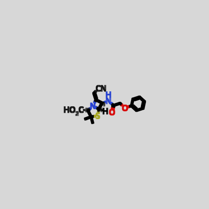 CC1(C)S[C@@H]2[C@H](NC(=O)COc3ccccc3)C(=CC#N)N2[C@H]1C(=O)O